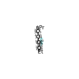 CCCc1ccc(-c2ccc(-c3ccc(-c4ccc(CC)cc4)c(F)c3F)cc2)cc1